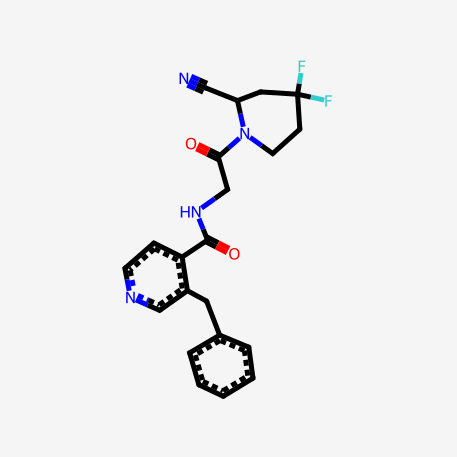 N#CC1CC(F)(F)CCN1C(=O)CNC(=O)c1ccncc1Cc1ccccc1